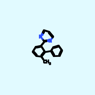 Cc1cccc(-c2ncccn2)c1-c1ccccc1